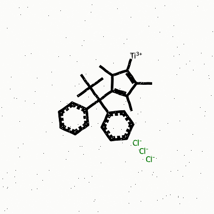 CC1=[C]([Ti+3])C(C)C(C(c2ccccc2)(c2ccccc2)C(C)(C)C)=C1C.[Cl-].[Cl-].[Cl-]